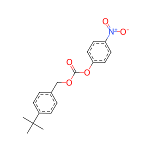 CC(C)(C)c1ccc(COC(=O)Oc2ccc([N+](=O)[O-])cc2)cc1